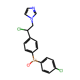 [O-][S+](c1ccc(Cl)cc1)c1ccc(C(Cl)Cn2ccnc2)cc1